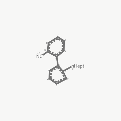 CCCCCCCc1ccccc1-c1ccccc1C#N